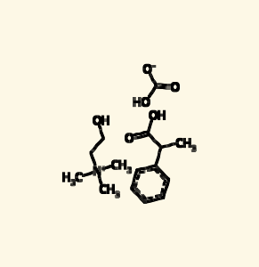 CC(C(=O)O)c1ccccc1.C[N+](C)(C)CCO.O=C([O-])O